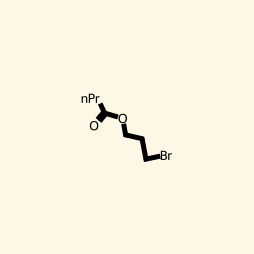 CCCC(=O)OCCCBr